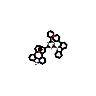 c1ccc(-c2nc(-c3cccc(-c4cccc5oc6cccc(-c7ccccc7)c6c45)c3)nc(-n3c4ccccc4c4cccc(-c5ccccc5)c43)n2)cc1